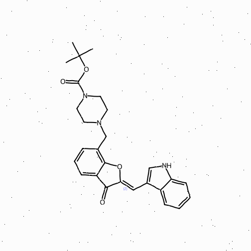 CC(C)(C)OC(=O)N1CCN(Cc2cccc3c2O/C(=C\c2c[nH]c4ccccc24)C3=O)CC1